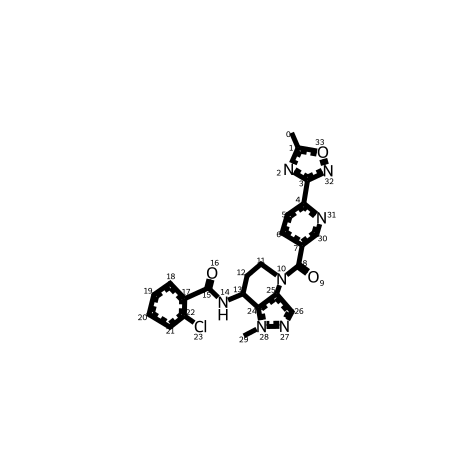 Cc1nc(-c2ccc(C(=O)N3CCC(NC(=O)c4ccccc4Cl)c4c3cnn4C)cn2)no1